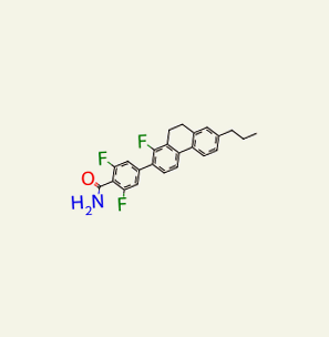 CCCc1ccc2c(c1)CCc1c-2ccc(-c2cc(F)c(C(N)=O)c(F)c2)c1F